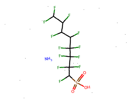 N.O=S(=O)(O)C(F)C(F)(F)C(F)(F)C(F)(F)C(F)C(F)C(F)C(F)F